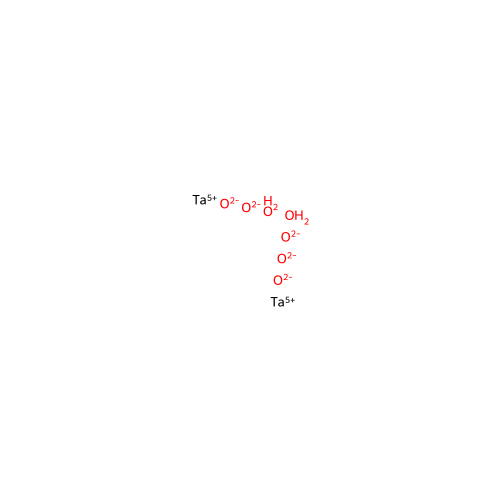 O.O.[O-2].[O-2].[O-2].[O-2].[O-2].[Ta+5].[Ta+5]